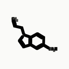 C=CCn1ccc2cc(C(=O)O)ccc21